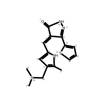 Cc1[nH]c(/C=C2/C(=O)NN=C2c2cccs2)cc1CN(C)C